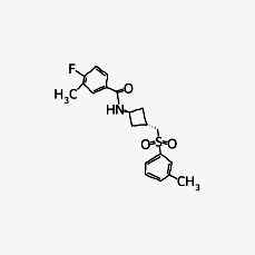 Cc1cccc(S(=O)(=O)C[C@H]2C[C@H](NC(=O)c3ccc(F)c(C)c3)C2)c1